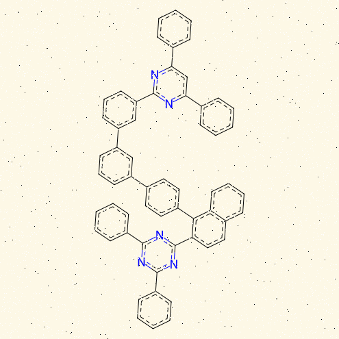 c1ccc(-c2cc(-c3ccccc3)nc(-c3cccc(-c4cccc(-c5ccc(-c6c(-c7nc(-c8ccccc8)nc(-c8ccccc8)n7)ccc7ccccc67)cc5)c4)c3)n2)cc1